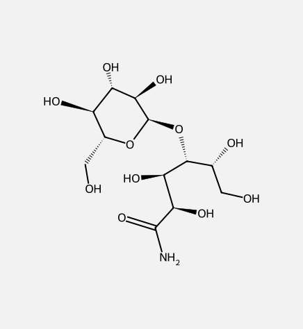 NC(=O)[C@H](O)[C@@H](O)[C@H](O[C@H]1O[C@H](CO)[C@@H](O)[C@H](O)[C@H]1O)[C@H](O)CO